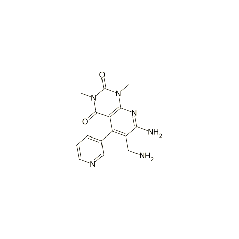 Cn1c(=O)c2c(-c3cccnc3)c(CN)c(N)nc2n(C)c1=O